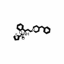 O=S(=O)(NC(CCN1CCC(Cc2ccccc2)CC1)c1ccccc1)c1cccs1